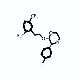 Fc1ccc([C@@H]2NCCO[C@H]2OCCc2cc(C(F)(F)F)ccc2C(F)(F)F)cc1